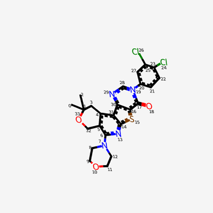 CC1(C)Cc2c(c(N3CCOCC3)nc3sc4c(=O)n(-c5ccc(Cl)c(Cl)c5)cnc4c23)CO1